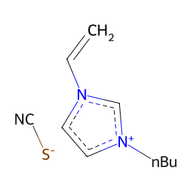 C=Cn1cc[n+](CCCC)c1.N#C[S-]